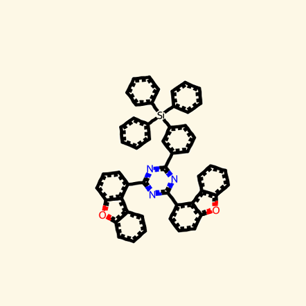 c1ccc([Si](c2ccccc2)(c2ccccc2)c2cccc(-c3nc(-c4cccc5oc6ccccc6c45)nc(-c4cccc5oc6ccccc6c45)n3)c2)cc1